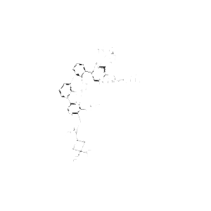 CNCc1ncc(-c2cccc(-c3cccc(-c4cnc(CNC5CC(F)(F)C5)c(OC)n4)c3Cl)c2Cl)nc1OC